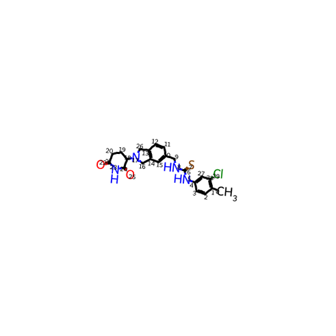 Cc1ccc(NC(=S)NCc2ccc3c(c2)CN(C2CCC(=O)NC2=O)C3)cc1Cl